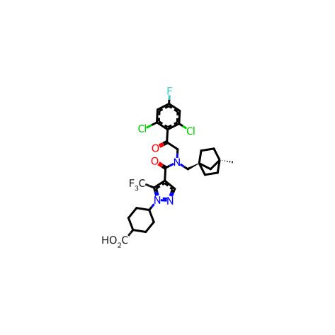 C[C@]12CC[C@@](CN(CC(=O)c3c(Cl)cc(F)cc3Cl)C(=O)c3cnn(C4CCC(C(=O)O)CC4)c3C(F)(F)F)(CC1)C2